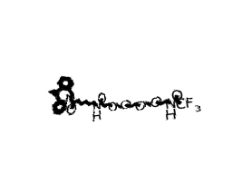 O=C(CCOCCOCCOCCOCCNC(=O)C(F)(F)F)NCCCCCC(=O)N1Cc2ccccc2C2=C(C2)c2ccccc21